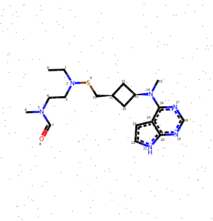 CCN(CCN(C)C=O)SC[C@H]1C[C@@H](N(C)c2ncnc3[nH]ccc23)C1